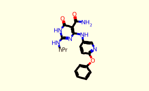 CCCNc1nc(Nc2ccc(Oc3ccccc3)nc2)c(C(N)=O)c(=O)[nH]1